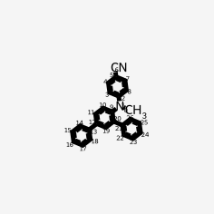 CN(c1ccc(C#N)cc1)c1ccc(-c2ccccc2)cc1-c1ccccc1